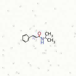 CC(C)NC(=O)/C=C/c1cc[c]cc1